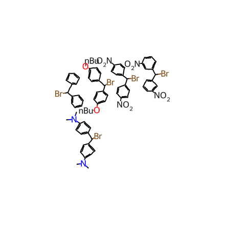 BrC(c1ccccc1)c1ccccc1.CCCCOc1ccc(C(Br)c2ccc(OCCCC)cc2)cc1.CN(C)c1ccc(C(Br)c2ccc(N(C)C)cc2)cc1.O=[N+]([O-])c1ccc(C(Br)c2ccc([N+](=O)[O-])cc2)cc1.O=[N+]([O-])c1cccc(C(Br)c2cccc([N+](=O)[O-])c2)c1